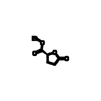 CCOC(=O)[C@H]1CCC(=O)O1